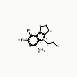 CCCn1c2c(c3c(F)c(F)ccc31)CCC2.N